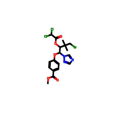 COC(=O)c1ccc(OC(C(OC(=O)C(Cl)Cl)C(C)(C)CBr)n2cncn2)cc1